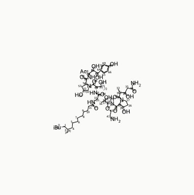 CC[C@H](C)C[C@H](C)CCCCCCCCC(=O)N[C@@H](C[C@@H](O)[C@H](NC(=O)[C@@H]1[C@@H](O)CCN1C(=O)[C@@H](C)[C@H](O)CC(N)=O)OCCN)C(=O)N[C@H](C(=O)N1C[C@H](O)C[C@H]1C(=O)N[C@H](C(C)=O)[C@H](O)[C@@H](O)c1ccc(O)cc1)[C@@H](C)O